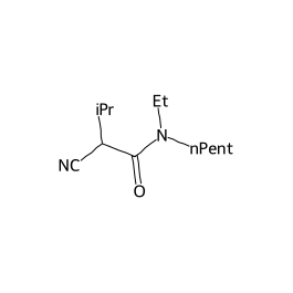 CCCCCN(CC)C(=O)C(C#N)C(C)C